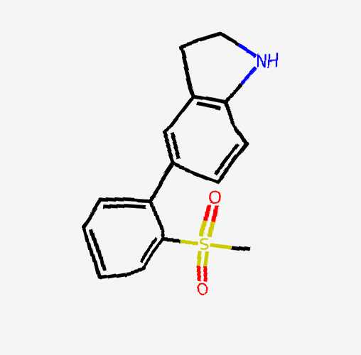 CS(=O)(=O)c1ccccc1-c1ccc2c(c1)CCN2